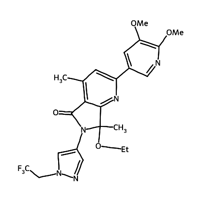 CCOC1(C)c2nc(-c3cnc(OC)c(OC)c3)cc(C)c2C(=O)N1c1cnn(CC(F)(F)F)c1